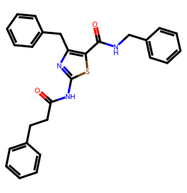 O=C(CCc1ccccc1)Nc1nc(Cc2ccccc2)c(C(=O)NCc2ccccc2)s1